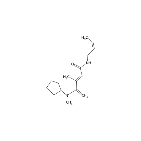 C=C(/C(C)=C/C(=O)NC/C=C\C)N(C)C1CCCC1